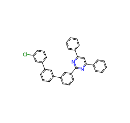 Clc1cccc(-c2cccc(-c3cccc(-c4nc(-c5ccccc5)cc(-c5ccccc5)n4)c3)c2)c1